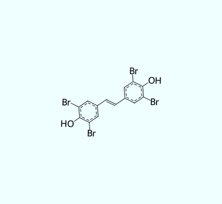 Oc1c(Br)cc(/C=C/c2cc(Br)c(O)c(Br)c2)cc1Br